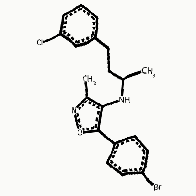 Cc1noc(-c2ccc(Br)cc2)c1NC(C)CCc1cccc(Cl)c1